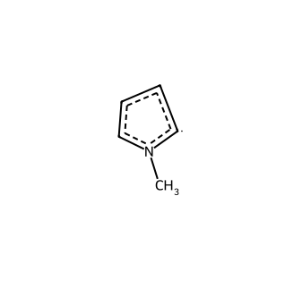 Cn1[c]ccc1